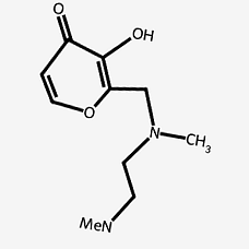 CNCCN(C)Cc1occc(=O)c1O